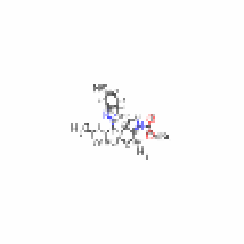 C=CCCC(c1c(OC)cc(C)c2c1ccn2C(=O)OC(C)(C)C)n1cc2ccc(C#N)cc2n1